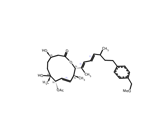 COCc1ccc(CCC(C)/C=C/C=C(\C)[C@H]2OC(=O)C[C@H](O)CC[C@@](C)(O)[C@@H](OC(C)=O)/C=C/[C@@H]2C)cc1